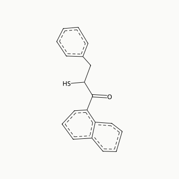 O=C(c1cccc2ccccc12)C(S)Cc1ccccc1